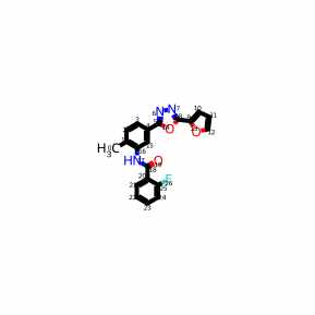 Cc1ccc(-c2nnc(-c3ccco3)o2)cc1NC(=O)c1ccccc1F